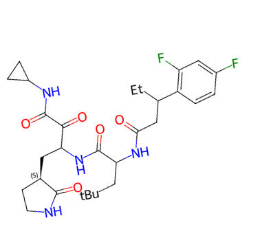 CCC(CC(=O)NC(CC(C)(C)C)C(=O)NC(C[C@@H]1CCNC1=O)C(=O)C(=O)NC1CC1)c1ccc(F)cc1F